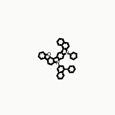 c1ccc(-c2cc(-n3c4cc5c(cc4c4c6oc7ccccc7c6ccc43)c3c4ccccc4ccc3n5-c3ccccc3)cc3ccccc23)cc1